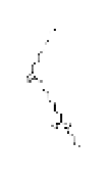 CCCCCCCCC1SC1CCCCCCCC(=O)OCCCC